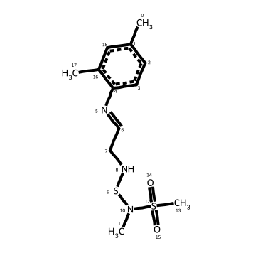 Cc1ccc(N=CCNSN(C)S(C)(=O)=O)c(C)c1